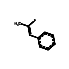 [CH2]C(F)=Cc1ccccc1